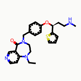 CCN1CCN(Cc2ccc(O[C@@H](CCNC)c3cccs3)cc2)C(=O)c2cnccc21